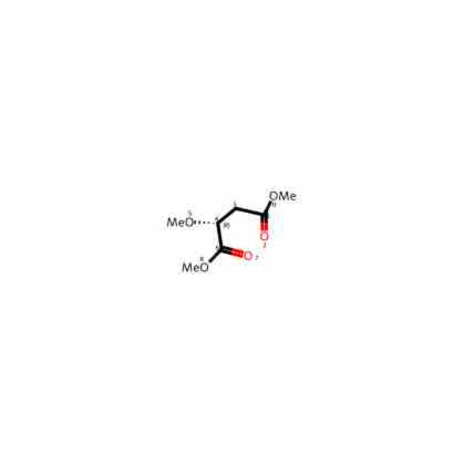 COC(=O)C[C@@H](OC)C(=O)OC